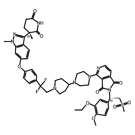 CCOc1cc([C@@H](CS(C)(=O)=O)N2C(=O)c3ccnc(N4CCN(C5CCN(CC(F)(F)c6ccc(Oc7ccc8c([C@]9(C)CCC(=O)NC9=O)nn(C)c8c7)cc6)CC5)CC4)c3C2=O)ccc1OC